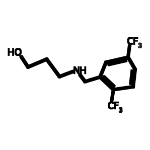 OCCCNCc1cc(C(F)(F)F)ccc1C(F)(F)F